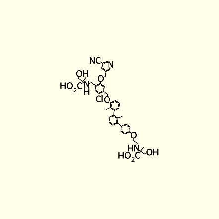 Cc1c(OCc2cc(OCc3cncc(C#N)c3)c(CN[C@@](C)(CO)C(=O)O)cc2Cl)cccc1-c1cccc(-c2ccc(OCCNC(C)(CO)C(=O)O)cc2)c1C